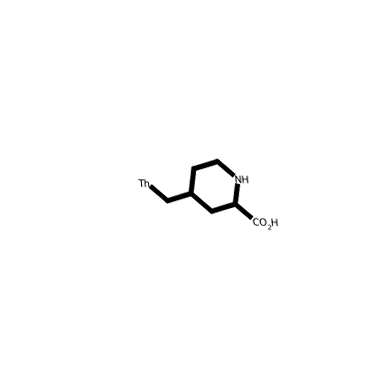 O=C(O)C1CC([CH2][Th])CCN1